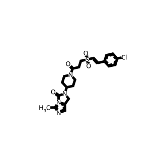 Cc1ncc2n1C(=O)N(C1CCN(C(=O)CCS(=O)(=O)C=Cc3ccc(Cl)cc3)CC1)C2